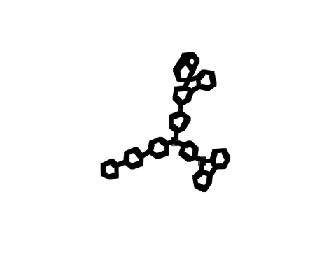 c1ccc(-c2ccc(-c3ccc(N(c4ccc(-c5ccc6c(c5)-c5ccccc5C65C6CC7CC(C6)CC5C7)cc4)c4ccc(-n5c6ccccc6c6ccccc65)cc4)cc3)cc2)cc1